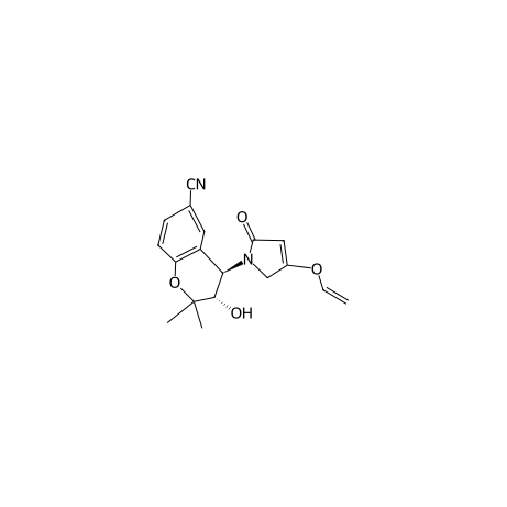 C=COC1=CC(=O)N([C@@H]2c3cc(C#N)ccc3OC(C)(C)[C@H]2O)C1